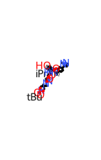 CC(C)C(C(=O)N1C[C@H](O)C[C@H]1C(=O)N[C@@H](C)c1ccc(-c2ccnn2C)cc1)c1cc(N2CC3(CCN(C(=O)OC(C)(C)C)CC3)C2)no1